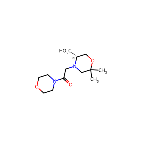 CC1(C)CN(CC(=O)N2CCOCC2)[C@H](C(=O)O)CO1